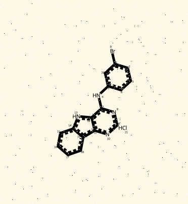 Brc1cccc(Nc2ncnc3c2[nH]c2ccccc23)c1.Cl